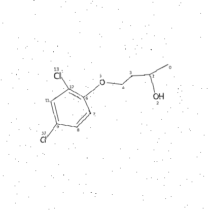 CC(O)CCOc1ccc(Cl)cc1Cl